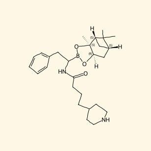 CC1(C)[C@@H]2C[C@H]3OB(C(Cc4ccccc4)NC(=O)CCCC4CCNCC4)O[C@@]3(C)[C@H]1C2